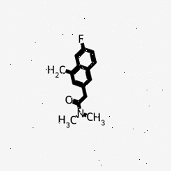 [CH2]c1cc(CC(=O)N(C)C)cc2ccc(F)cc12